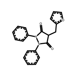 O=C1C(Cc2ccco2)C(=O)N(c2ccccc2)N1c1ccccc1